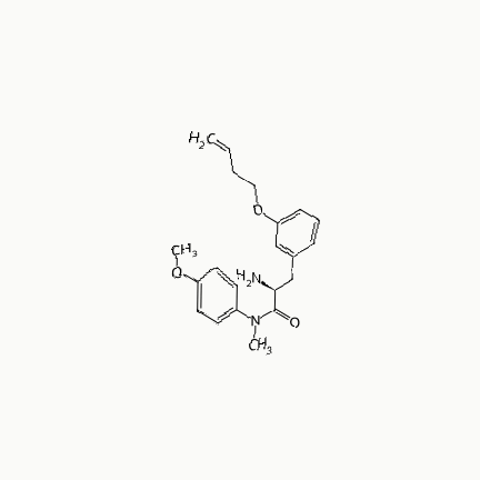 C=CCCOc1cccc(C[C@H](N)C(=O)N(C)c2ccc(OC)cc2)c1